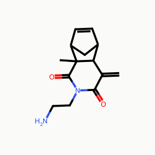 C=C1C(=O)N(CCN)C(=O)C2(C)C3C=CC(C3)C12